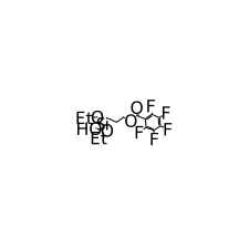 CCO[Si](O)(CCCOC(=O)c1c(F)c(F)c(F)c(F)c1F)OCC